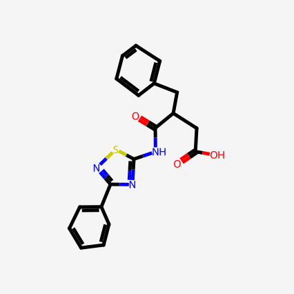 O=C(O)CC(Cc1ccccc1)C(=O)Nc1nc(-c2ccccc2)ns1